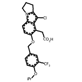 CC(C)Oc1ccc(COc2ccc3c(c(Cl)c4n3CCC4)c2CC(=O)O)cc1C(F)(F)F